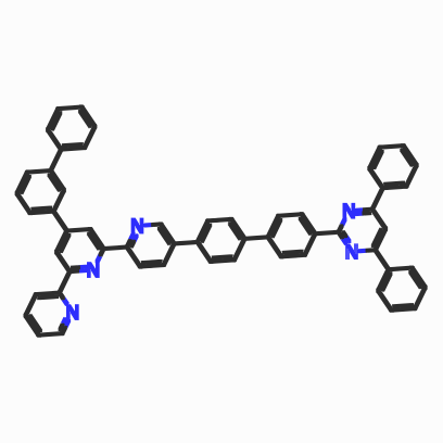 c1ccc(-c2cccc(-c3cc(-c4ccccn4)nc(-c4ccc(-c5ccc(-c6ccc(-c7nc(-c8ccccc8)cc(-c8ccccc8)n7)cc6)cc5)cn4)c3)c2)cc1